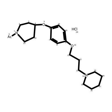 CC(=O)N1CCC(Oc2ccc(OCCCN3CCCCC3)cc2)CC1.Cl